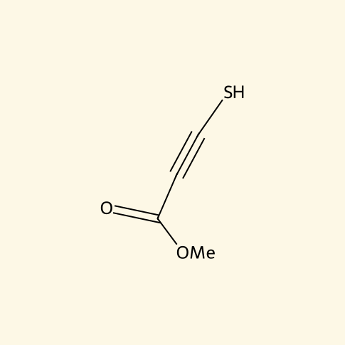 COC(=O)C#CS